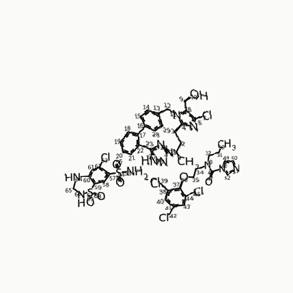 CCCCc1nc(Cl)c(CO)n1Cc1ccc(-c2ccccc2-c2nnn[nH]2)cc1.CCCN(CCOc1c(Cl)cc(Cl)cc1Cl)C(=O)n1ccnc1.NS(=O)(=O)c1cc2c(cc1Cl)NCNS2(=O)=O